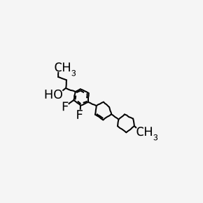 CCCC(O)c1ccc(C2C=CC(C3CCC(C)CC3)CC2)c(F)c1F